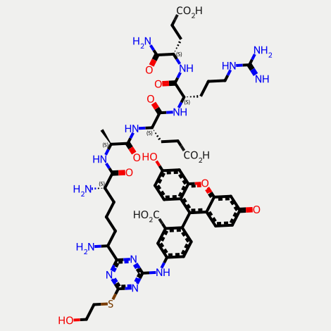 C[C@H](NC(=O)[C@@H](N)CCCC(N)c1nc(Nc2ccc(-c3c4ccc(=O)cc-4oc4cc(O)ccc34)c(C(=O)O)c2)nc(SCCO)n1)C(=O)N[C@@H](CCC(=O)O)C(=O)N[C@@H](CCCNC(=N)N)C(=O)N[C@@H](CCC(=O)O)C(N)=O